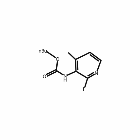 CCCCOC(=O)Nc1c(C)ccnc1F